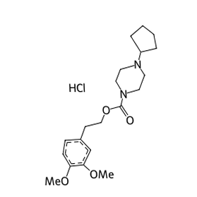 COc1ccc(CCOC(=O)N2CCN(C3CCCC3)CC2)cc1OC.Cl